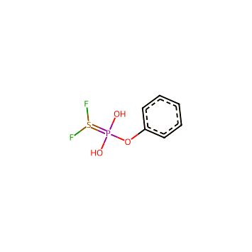 OP(O)(Oc1ccccc1)=S(F)F